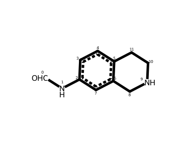 O=CNc1ccc2c(c1)CNCC2